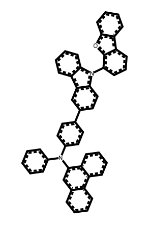 c1ccc(N(c2ccc(-c3ccc4c(c3)c3ccccc3n4-c3cccc4c3oc3ccccc34)cc2)c2cc3ccccc3c3ccccc23)cc1